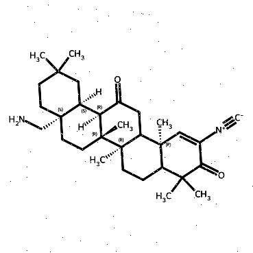 [C-]#[N+]C1=C[C@@]2(C)C(CC[C@]3(C)C2CC(=O)[C@@H]2[C@@H]4CC(C)(C)CC[C@]4(CN)CC[C@]23C)C(C)(C)C1=O